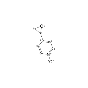 [O-][n+]1ccc(C2CO2)cc1